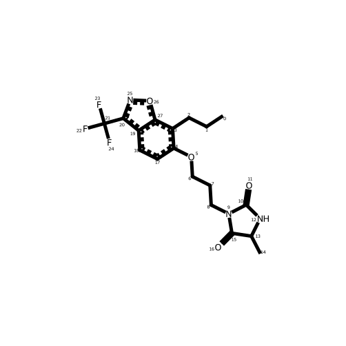 CCCc1c(OCCCN2C(=O)NC(C)C2=O)ccc2c(C(F)(F)F)noc12